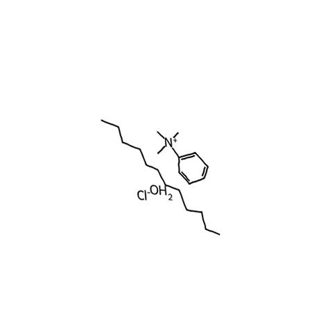 CCCCCCCCCCCC.C[N+](C)(C)c1ccccc1.O.[Cl-]